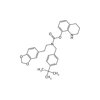 CC(C)(C)c1ccc(CN(CCc2ccc3c(c2)OCO3)C(=O)Oc2cccc3c2NCCC3)cc1